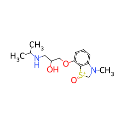 CC(C)NCC(O)COc1cccc2c1[S+]([O-])CN2C